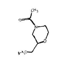 C[CH]C1CN(C(C)=O)CCO1